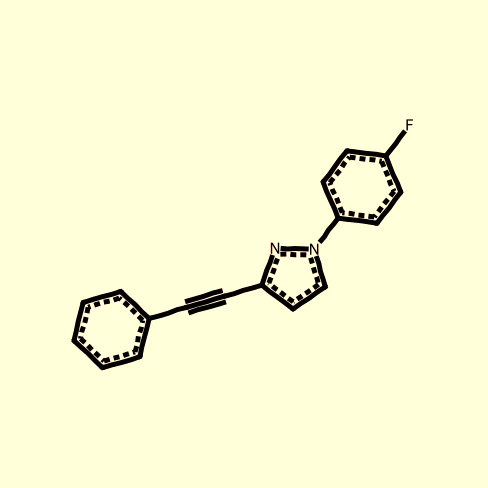 Fc1ccc(-n2ccc(C#Cc3ccccc3)n2)cc1